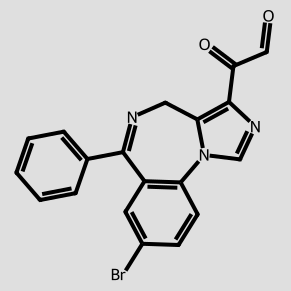 O=CC(=O)c1ncn2c1CN=C(c1ccccc1)c1cc(Br)ccc1-2